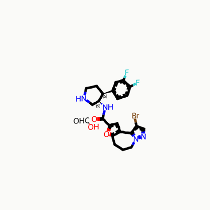 O=C(N[C@@H]1CNCC[C@H]1c1ccc(F)c(F)c1)c1cc2c(o1)CCCn1ncc(Br)c1-2.O=CO